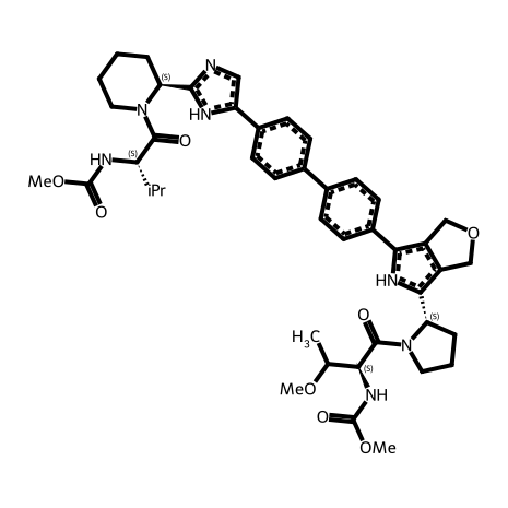 COC(=O)N[C@H](C(=O)N1CCCC[C@H]1c1ncc(-c2ccc(-c3ccc(-c4[nH]c([C@@H]5CCCN5C(=O)[C@@H](NC(=O)OC)C(C)OC)c5c4COC5)cc3)cc2)[nH]1)C(C)C